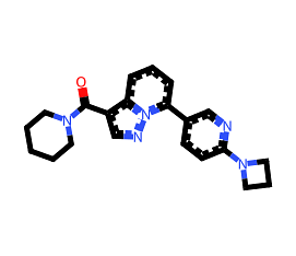 O=C(c1cnn2c(-c3ccc(N4CCC4)nc3)cccc12)N1CCCCC1